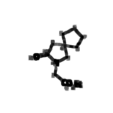 CCOC(=O)CN1CC2(CCCC2)CC1=O